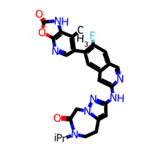 Cc1c(-c2cc3cc(Nc4cc5n(n4)CC(=O)N(C(C)C)CC5)ncc3cc2F)cnc2oc(=O)[nH]c12